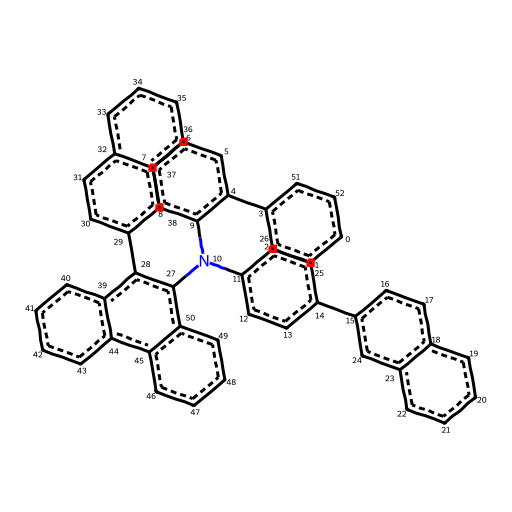 c1ccc(-c2ccccc2N(c2ccc(-c3ccc4ccccc4c3)cc2)c2c(-c3ccc4ccccc4c3)c3ccccc3c3ccccc23)cc1